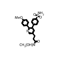 COc1ccc(-c2ncc(CCC(=O)N(C)O)cc2-c2ccc(S(N)(=O)=O)cc2)cc1